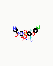 NOC(=O)[C@H]1CN(C(=O)c2ccncc2)CCN1S(=O)(=O)c1cc(F)c(Oc2ccc(Cl)cc2)c(F)c1